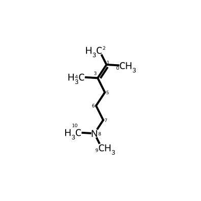 CC(C)=C(C)CCCN(C)C